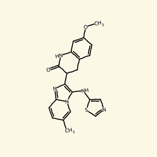 COc1ccc2c(c1)NC(=O)C(c1nc3ccc(C)cn3c1Nc1cncs1)C2